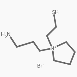 NCCC[N+]1(CCS)CCCC1.[Br-]